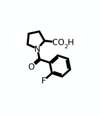 O=C(O)C1CCCN1C(=O)c1ccccc1F